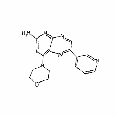 Nc1nc(N2CCOCC2)c2nc(-c3cccnc3)cnc2n1